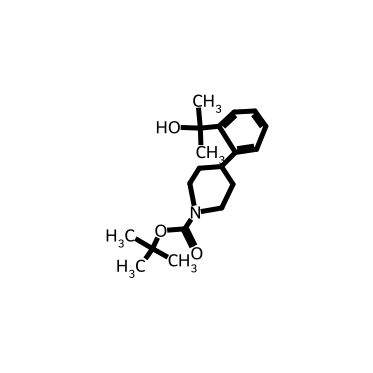 CC(C)(C)OC(=O)N1CCC(c2ccccc2C(C)(C)O)CC1